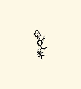 C/C=C(/O[Si](C)(C)C(C)(C)C)c1ccc(N2CCOCC2)c(F)c1